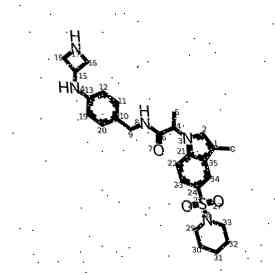 Cc1cn(C(C)C(=O)NCc2ccc(NC3CNC3)cc2)c2ccc(S(=O)(=O)N3CCCCC3)cc12